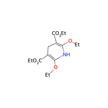 CCOC(=O)C1=C(OCC)NC(OCC)=C(C(=O)OCC)C1